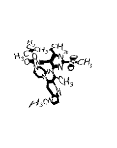 CCc1nc(S(C)(=O)=O)nc(N[C@@H](C)c2nc3ccn(C)c3cc2N2CCN(C(=O)OC(C)(C)C)CC2)c1C#N